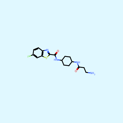 NCCC(=O)NC1CCC(NC(=O)c2nc3ccc(F)cc3s2)CC1